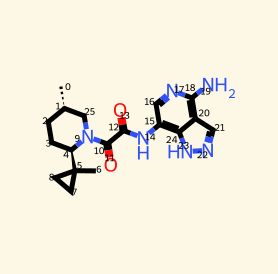 C[C@H]1CC[C@H](C2(C)CC2)N(C(=O)C(=O)Nc2cnc(N)c3cn[nH]c23)C1